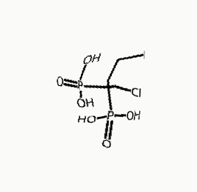 O=P(O)(O)C(Cl)(CI)P(=O)(O)O